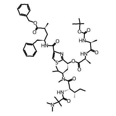 CC[C@H](C)[C@H](NC(=O)C(C)(C)N(C)C)C(=O)N(C)[C@H](C[C@@H](OC(=O)[C@H](C)NC(=O)[C@H](C)NC(=O)OC(C)(C)C)c1nc(C(=O)N[C@@H](Cc2ccccc2)C[C@H](C)C(=O)OCc2ccccc2)cs1)C(C)C